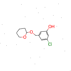 Oc1cc(Cl)cc(COC2CCCCO2)c1